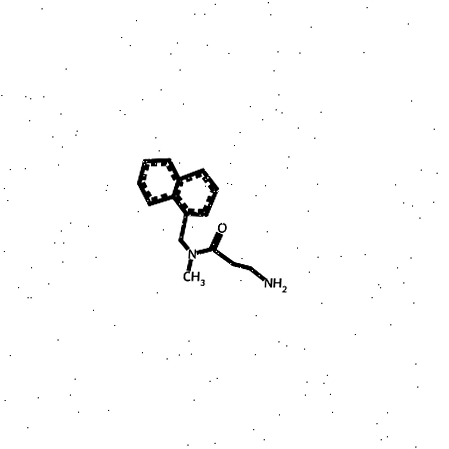 CN(Cc1cccc2ccccc12)C(=O)CCN